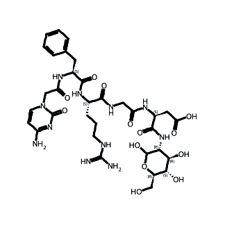 N=C(N)NCCC[C@H](NC(=O)[C@H](Cc1ccccc1)NC(=O)Cn1ccc(N)nc1=O)C(=O)NCC(=O)N[C@@H](CC(=O)O)C(=O)N[C@H]1C(O)O[C@H](CO)[C@@H](O)[C@@H]1O